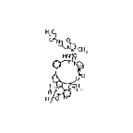 C=CC(=O)N1CC(CN2C(=O)C[C@H](C)[C@H]2C(=O)N[C@H]2Cc3cccc(c3)-c3ccc4c(c3)c(c(-c3cccnc3[C@H](C)OC)n4CC)CC(C)(C)COC(=O)B3CCCN(N3)C2=O)C1